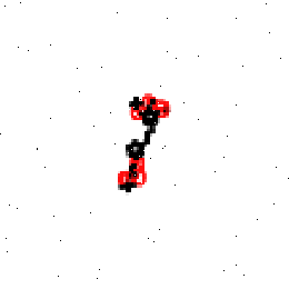 COc1cc(CCCc2cccc(OCC(=O)OC(C)(C)C)c2)cc(OC(C)(C)C)c1OC